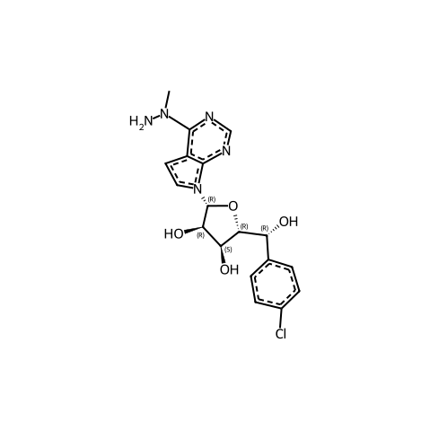 CN(N)c1ncnc2c1ccn2[C@@H]1O[C@H]([C@H](O)c2ccc(Cl)cc2)[C@@H](O)[C@H]1O